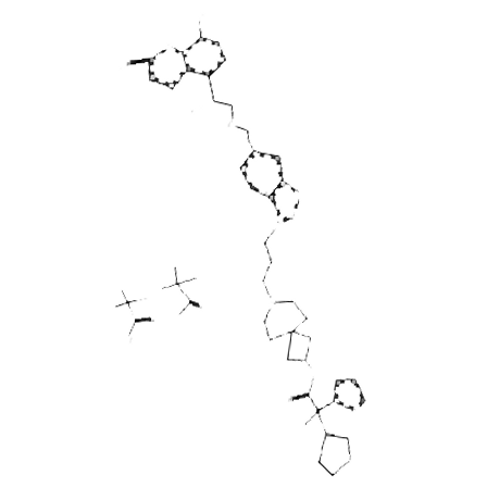 O=C(O)C(F)(F)F.O=C(O)C(F)(F)F.O=C(OC1CC2(CCN(CCCn3nnc4cc(CNC[C@H](O)c5ccc(O)c6[nH]c(=O)ccc56)ccc43)CC2)C1)C(O)(c1cccs1)C1CCCC1